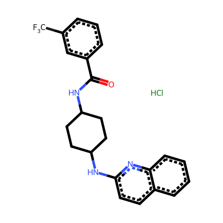 Cl.O=C(NC1CCC(Nc2ccc3ccccc3n2)CC1)c1cccc(C(F)(F)F)c1